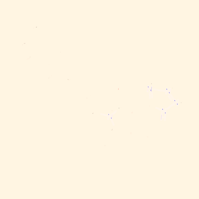 O=c1c(-c2nnn[nH]2)c2cccccc-2n1CCCCCc1ccccc1